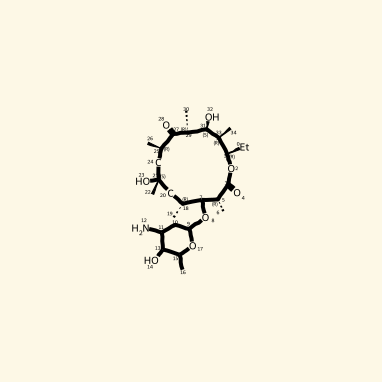 CC[C@H]1OC(=O)[C@H](C)C(OC2CC(N)C(O)C(C)O2)[C@H](C)C[C@](C)(O)C[C@@H](C)C(=O)[C@H](C)[C@@H](O)[C@H]1C